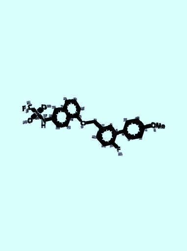 COc1ccc(-c2cc(COc3cccc4cc(NS(=O)(=O)C(F)(F)F)ccc34)ccc2F)cc1